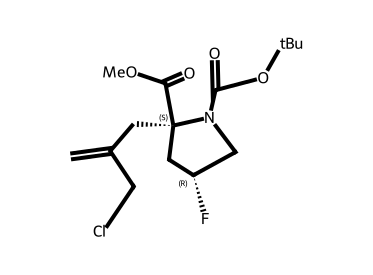 C=C(CCl)C[C@@]1(C(=O)OC)C[C@@H](F)CN1C(=O)OC(C)(C)C